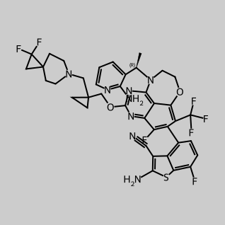 C[C@H](c1cccnc1N)N1CCOc2c(C(F)(F)F)c(-c3ccc(F)c4sc(N)c(C#N)c34)c(F)c3nc(OCC4(CN5CCC6(CC5)CC6(F)F)CC4)nc1c23